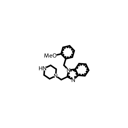 COc1ccccc1Cn1c(CN2CCNCC2)nc2ccccc21